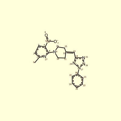 Cc1ccc([N+](=O)[O-])c(N2CCC(=Cc3nnn(-c4ccccc4)n3)CC2)n1